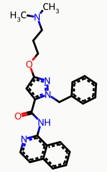 CN(C)CCCOc1cc(C(=O)Nc2nccc3ccccc23)n(Cc2ccccc2)n1